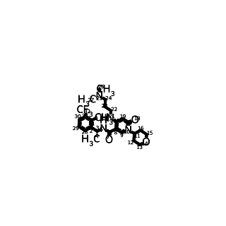 Cc1c([C@@H](C)NC(=O)c2cn(C3CCOCC3)c(=O)cc2NCCCN(C)C)cccc1C(F)(F)F